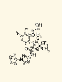 C[C@H]1[C@@H](c2ccc(F)c(F)c2OCCO)[C@H](C(=O)Nc2ncn(C3CCOC3)n2)O[C@@]1(C)C(F)(F)F